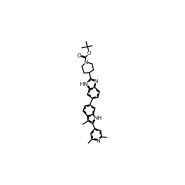 Cc1cc(-c2[nH]c3cc(-c4ccc5nc(C6CCN(C(=O)OC(C)(C)C)CC6)[nH]c5c4)ccc3c2C)cc(C)n1